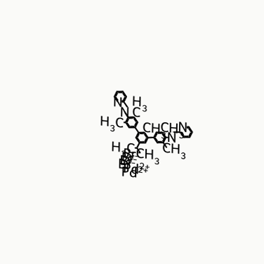 Cc1cc(-c2cc(C(C)C)cc(-c3cc(C)c(N=Cc4ccccn4)c(C)c3)c2C)cc(C)c1N=Cc1ccccn1.[Br-].[Br-].[Br-].[Br-].[Pd+2].[Pd+2]